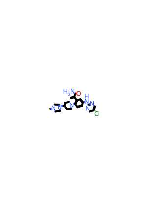 C=C(C(N)=O)c1cc(Nc2ncc(Cl)cn2)ccc1N1CCC(N2CCN(C)CC2)CC1